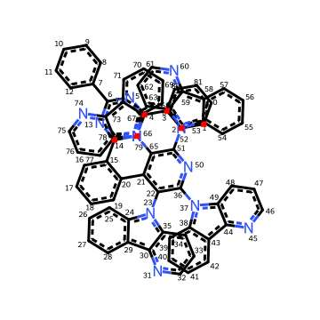 c1ccc(-c2nc(-c3ccccc3)nc(-c3ccccc3-c3c(-n4c5ccccc5c5ncccc54)c(-n4c5ccccc5c5ncccc54)nc(-n4c5ccccc5c5ncccc54)c3-n3c4ccccc4c4ncccc43)n2)cc1